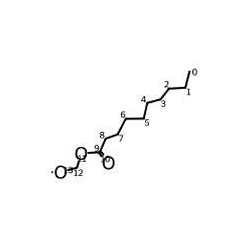 CCCCCCCCCC(=O)OC[O]